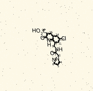 O=C(Cn1cccn1)NCc1cc(Cl)cc2cc(C(=O)O)c(=O)[nH]c12